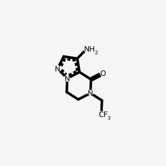 Nc1cnn2c1C(=O)N(CC(F)(F)F)CC2